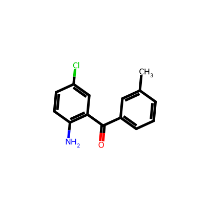 Cc1cccc(C(=O)c2cc(Cl)ccc2N)c1